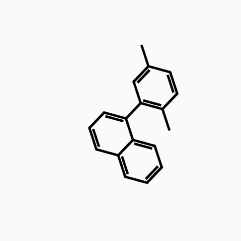 Cc1ccc(C)c(-c2cccc3ccccc23)c1